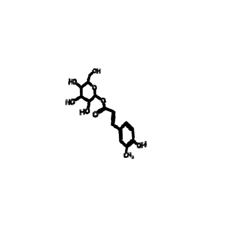 Cc1cc(/C=C/C(=O)OC2OC(CO)C(O)C(O)C2O)ccc1O